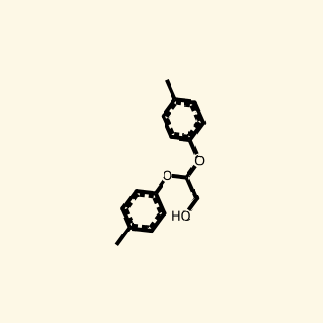 Cc1ccc(OC(CO)Oc2ccc(C)cc2)cc1